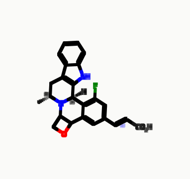 C[C@@H]1Cc2c([nH]c3ccccc23)[C@H]2c3c(F)cc(/C=C/C(=O)O)cc3C3OCC3N21